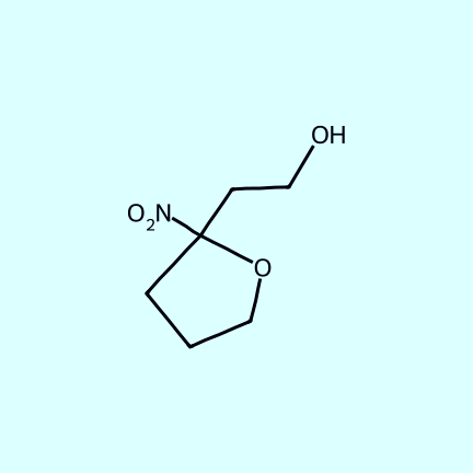 O=[N+]([O-])C1(CCO)CCCO1